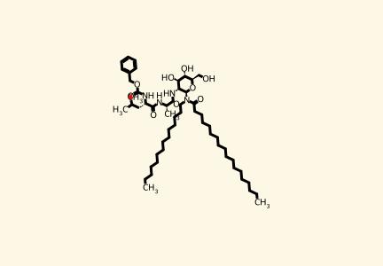 CCCCCCCCCCCCCCCCCC(=O)N(CCCCCCCCCCCCCC)[C@@H]1O[C@H](CO)[C@@H](O)[C@H](O)[C@H]1NC(=O)[C@H](C)NC(=O)[C@H](CC(C)C)NC(=O)OCc1ccccc1